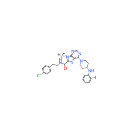 Cn1c(C(=O)NCCc2ccc(Cl)cc2)nc2c(N3CCC(Nc4ccccc4I)CC3)ncnc21